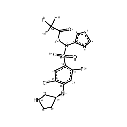 O=C(ON(c1cscn1)S(=O)(=O)c1cc(Cl)c(N[C@H]2CCNC2)cc1F)C(F)(F)F